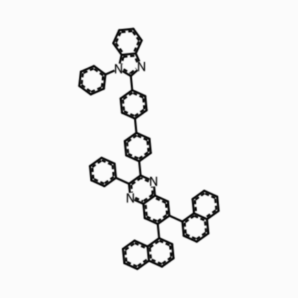 c1ccc(-c2nc3cc(-c4cccc5ccccc45)c(-c4cccc5ccccc45)cc3nc2-c2ccc(-c3ccc(-c4nc5ccccc5n4-c4ccccc4)cc3)cc2)cc1